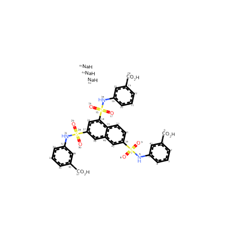 O=C(O)c1cccc(NS(=O)(=O)c2ccc3c(S(=O)(=O)Nc4cccc(C(=O)O)c4)cc(S(=O)(=O)Nc4cccc(C(=O)O)c4)cc3c2)c1.[NaH].[NaH].[NaH]